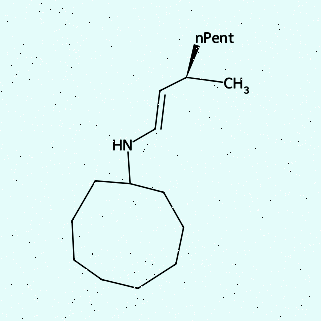 CCCCC[C@@H](C)/C=C/NC1CCCCCCCC1